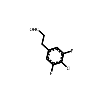 O=CCCc1cc(F)c(Cl)c(F)c1